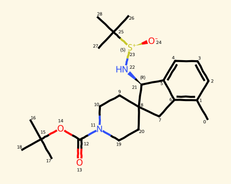 Cc1cccc2c1CC1(CCN(C(=O)OC(C)(C)C)CC1)[C@H]2N[S@+]([O-])C(C)(C)C